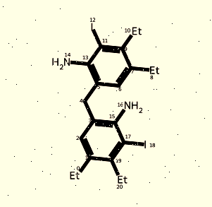 CCc1cc(Cc2cc(CC)c(CC)c(I)c2N)c(N)c(I)c1CC